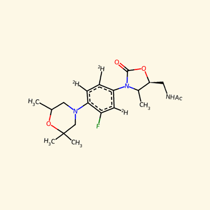 [2H]c1c([2H])c(N2C(=O)O[C@@H](CNC(C)=O)C2C)c([2H])c(F)c1N1CC(C)OC(C)(C)C1